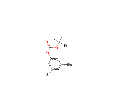 CCC(C)(C)OC(=O)Oc1cc(C(C)(C)C)cc(C(C)(C)C)c1